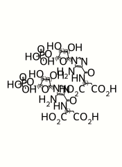 Nc1c(C(=O)N[C@@H](CC(=O)O)C(=O)O)ncn1[C@@H]1O[C@H](COP(=O)(O)O)[C@@H](O)[C@H]1O.Nc1c(C(=O)N[C@@H](CC(=O)O)C(=O)O)ncn1[C@@H]1O[C@H](COP(=O)(O)O)[C@@H](O)[C@H]1O